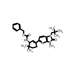 Cn1c(=O)n(CC(C)(C)C)c2ccc(C3=CC(NC(=O)OCc4ccccc4)C(C)(C)CC3)nc21